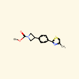 Cc1csc(-c2ccc(C3CN(C(=O)OC(C)(C)C)C3)cc2)n1